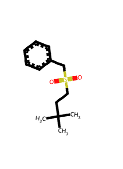 CC(C)(C)CCS(=O)(=O)Cc1ccccc1